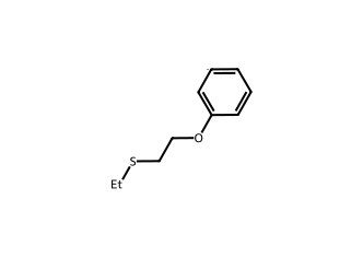 CCSCCOc1c[c]ccc1